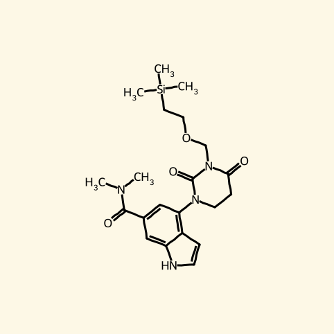 CN(C)C(=O)c1cc(N2CCC(=O)N(COCC[Si](C)(C)C)C2=O)c2cc[nH]c2c1